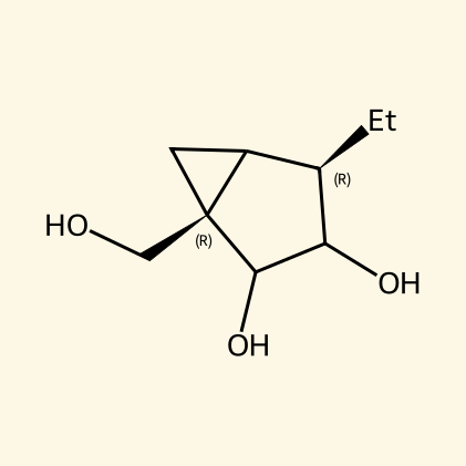 CC[C@H]1C(O)C(O)[C@]2(CO)CC12